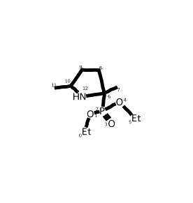 CCOP(=O)(OCC)C1(C)CCC(C)N1